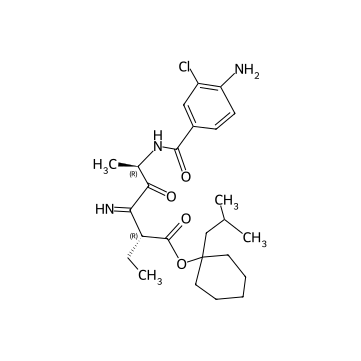 CC[C@H](C(=N)C(=O)[C@@H](C)NC(=O)c1ccc(N)c(Cl)c1)C(=O)OC1(CC(C)C)CCCCC1